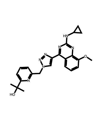 COc1cccc2c(-c3cn(Cc4cccc(C(C)(C)O)n4)nn3)nc(NC3CC3)nc12